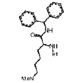 CCNC(CCCCNC)C(=O)NC(c1ccccc1)c1ccccc1